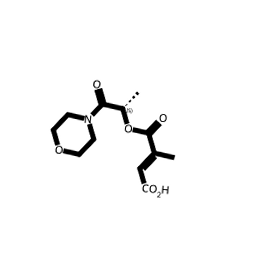 CC(=CC(=O)O)C(=O)O[C@@H](C)C(=O)N1CCOCC1